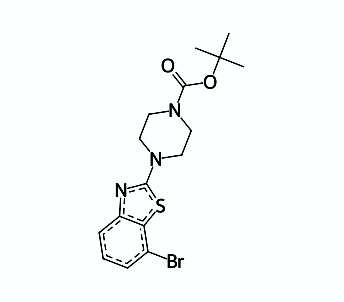 CC(C)(C)OC(=O)N1CCN(c2nc3cccc(Br)c3s2)CC1